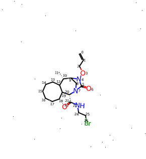 C=CCON1C(=O)N2CC1[C@@H](C)C1CCCCCCC1[C@H]2C(=O)NCCBr